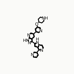 c1cncc(-c2nccc3[nH]c(-c4n[nH]c5ncc(-c6cncc(OC7CCNCC7)c6)cc45)cc23)c1